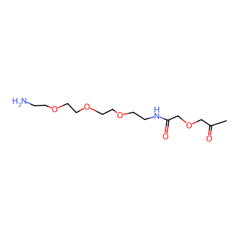 CC(=O)COCC(=O)NCCOCCOCCOCCN